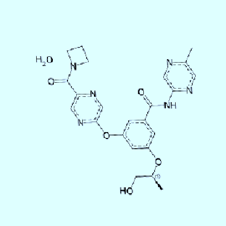 Cc1cnc(NC(=O)c2cc(Oc3cnc(C(=O)N4CCC4)cn3)cc(O[C@@H](C)CO)c2)cn1.O